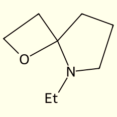 CCN1CCCC12CCO2